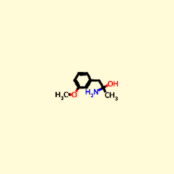 COc1cccc(CC(C)(N)O)c1